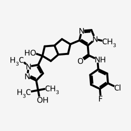 Cn1cnc(C2CC3CC(O)(c4cc(C(C)(C)O)nn4C)CC3C2)c1C(=O)Nc1ccc(F)c(Cl)c1